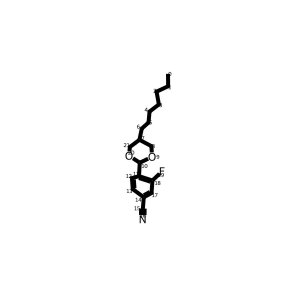 CCCCCCCC1COC(c2ccc(C#N)cc2F)OC1